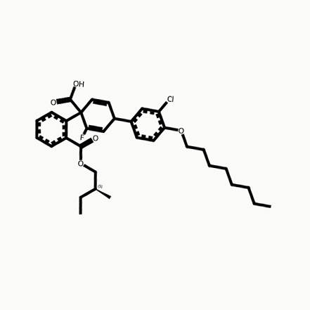 CCCCCCCCOc1ccc(C2C=CC(C(=O)O)(c3ccccc3C(=O)OC[C@@H](C)CC)C(F)=C2)cc1Cl